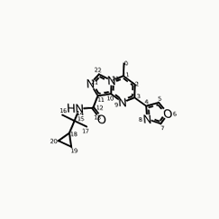 Cc1cc(-c2cocn2)nc2c(C(=O)NC(C)(C)C3CC3)ncn12